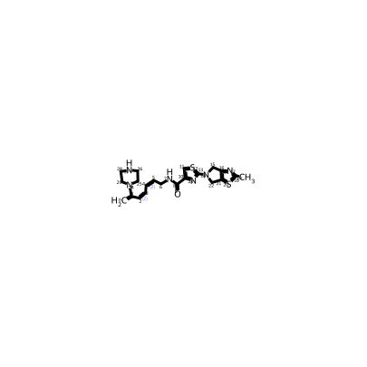 C=C(/C=C\C=C/CNC(=O)c1csc(N2Cc3nc(C)sc3C2)n1)N1CCNCC1